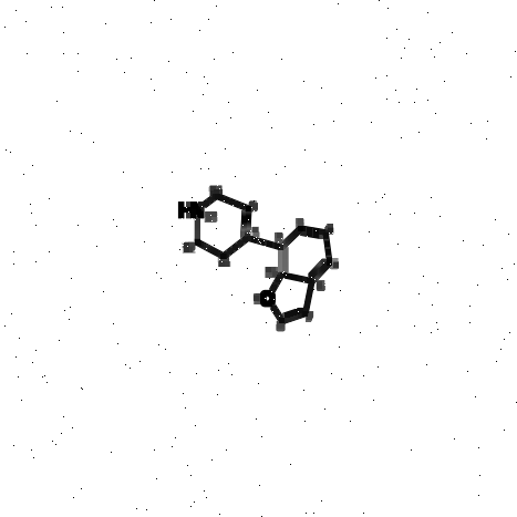 C1=C(c2cccc3ccoc23)CCNC1